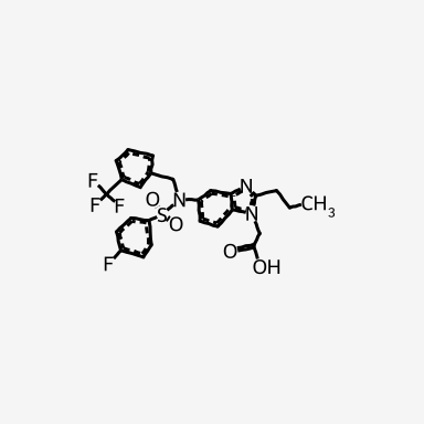 CCCc1nc2cc(N(Cc3cccc(C(F)(F)F)c3)S(=O)(=O)c3ccc(F)cc3)ccc2n1CC(=O)O